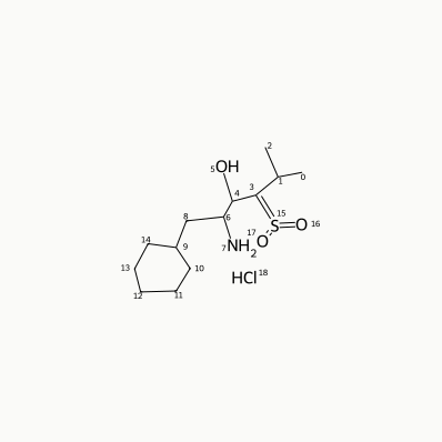 CC(C)C(C(O)C(N)CC1CCCCC1)=S(=O)=O.Cl